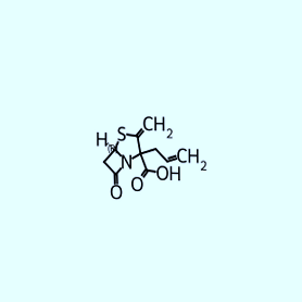 C=CCC1(C(=O)O)C(=C)S[C@@H]2CC(=O)N21